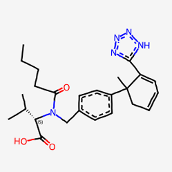 CCCCC(=O)N(Cc1ccc(C2(C)CC=CC=C2c2nnn[nH]2)cc1)[C@H](C(=O)O)C(C)C